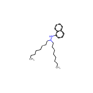 CCCCCCCCN(CCCCCCCC)Nc1cccc2ccccc12